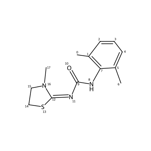 Cc1cccc(C)c1NC(=O)N=C1SCCN1C